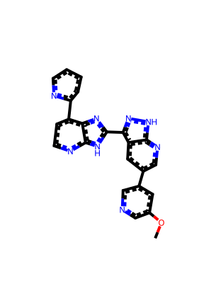 COc1cncc(-c2cnc3[nH]nc(-c4nc5c(-c6ccccn6)ccnc5[nH]4)c3c2)c1